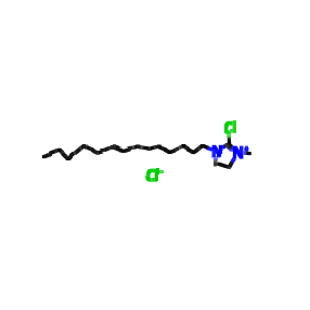 CCCCCCCCCCCCCCN1CC[N+](C)=C1Cl.[Cl-]